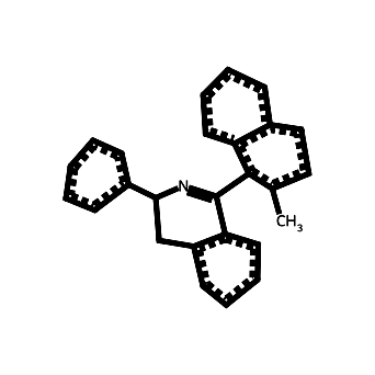 Cc1ccc2ccccc2c1C1=NC(c2ccccc2)Cc2ccccc21